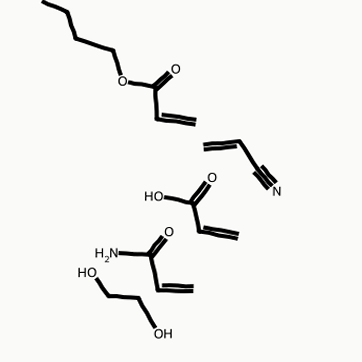 C=CC#N.C=CC(=O)O.C=CC(=O)OCCCC.C=CC(N)=O.OCCO